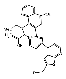 C=C(O)C1C(COC)c2c(cc(C(C)(C)C)c3ccccc23)-c2cc(-c3ccnc4sc(CC(C)C)cc34)cc[n+]21